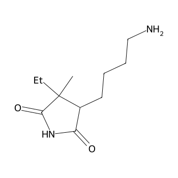 CCC1(C)C(=O)NC(=O)C1CCCCN